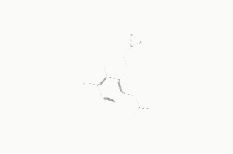 FC(F)Oc1ccc(Br)c(I)c1OCC1CC1